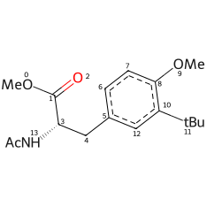 COC(=O)[C@H](Cc1ccc(OC)c(C(C)(C)C)c1)NC(C)=O